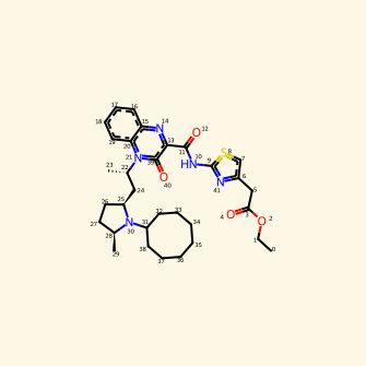 CCOC(=O)Cc1csc(NC(=O)c2nc3ccccc3n([C@@H](C)C[C@@H]3CC[C@H](C)N3C3CCCCCCC3)c2=O)n1